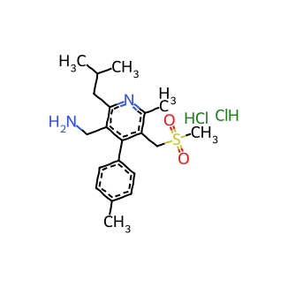 Cc1ccc(-c2c(CS(C)(=O)=O)c(C)nc(CC(C)C)c2CN)cc1.Cl.Cl